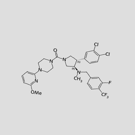 COc1cccc(N2CCN(C(=O)N3C[C@H](c4ccc(Cl)c(Cl)c4)[C@@H](N(C)Cc4ccc(C(F)(F)F)c(F)c4)C3)CC2)n1